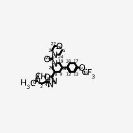 CN(C)Cc1nnc(C2CC(C3=CC=C(OC(F)(F)F)CC3)CN(C(=O)N3CCOCC3)C2)o1